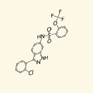 O=S(=O)(Nc1ccc2c(-c3ccccc3Cl)n[nH]c2c1)c1ccccc1OC(F)(F)F